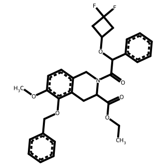 CCOC(=O)C1Cc2c(ccc(OC)c2OCc2ccccc2)CN1C(=O)C(OC1CC(F)(F)C1)c1ccccc1